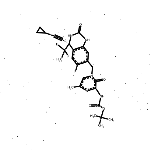 Cc1cn(Cc2cc3c(cc2F)[C@@](C#CC2CC2)(C(C)(F)F)NC(=O)N3)c(=O)c(NC(=O)OC(C)(C)C)n1